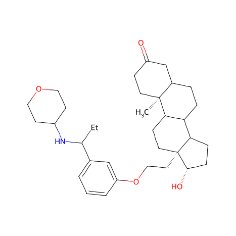 CCC(NC1CCOCC1)c1cccc(OCC[C@]23CCC4C(CCC5CC(=O)CC[C@@]54C)C2CC[C@@H]3O)c1